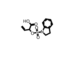 C=CC(OS(=O)(=O)N1CCc2ccccc21)C(=O)O